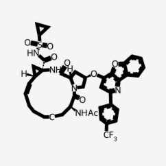 CC(=O)N[C@H]1CCCCC/C=C\[C@@H]2C[C@@]2(C(=O)NS(=O)(=O)C2CC2)NC(=O)[C@@H]2C[C@@H](Oc3cc(-c4ccc(C(F)(F)F)cc4)nc4c3oc3ccccc34)CN2C1=O